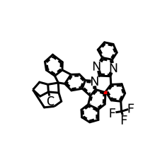 FC(F)(F)c1ccc(-c2nc3ccccc3nc2-n2c3cc4c(cc3c3c5ccccc5ccc32)C2(c3ccccc3-4)C3CC4CC5CC2C3(C4)C5)cc1